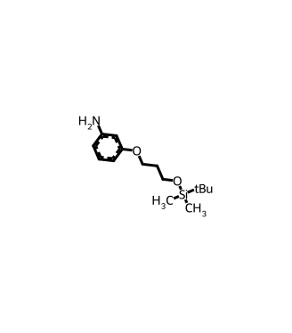 CC(C)(C)[Si](C)(C)OCCCOc1cccc(N)c1